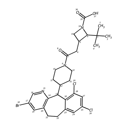 CC(C)(C)C1C(CC(=O)N2CCC(C3c4ncc(Br)cc4CCc4cc(Cl)cc(Cl)c43)CC2)CN1C(=O)O